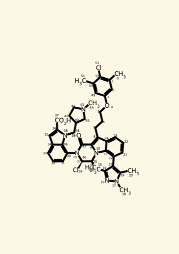 Cc1cc(OCCCc2c3n(c4c(-c5c(C)nn(C)c5C)cccc24)C(C)[C@@H](Cl)N(c2cccc4cc(C(=O)O)n(CC5CCN(C)C5)c24)C3=O)cc(C)c1Cl